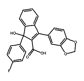 O=C(O)C1=C(c2ccc3c(c2)OCO3)c2ccccc2C1(O)c1ccc(F)cc1